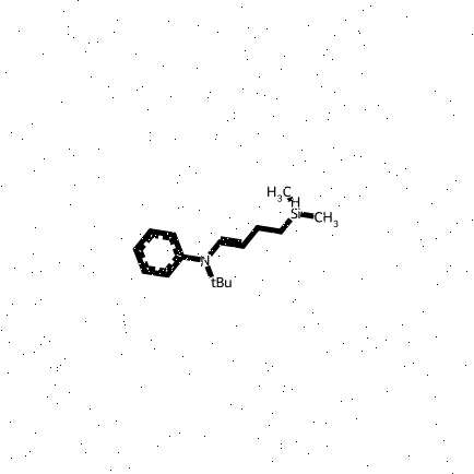 C[SiH](C)CCC=CN(c1ccccc1)C(C)(C)C